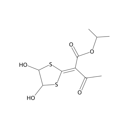 CC(=O)C(C(=O)OC(C)C)=C1SC(O)C(O)S1